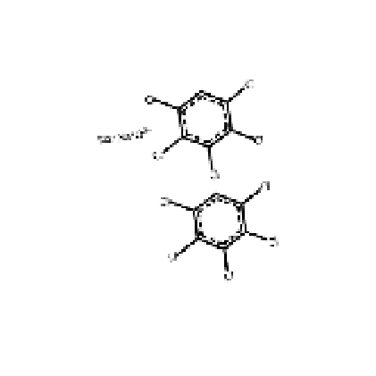 Clc1cc(Cl)c(Cl)c(Cl)c1Cl.Clc1cc(Cl)c(Cl)c(Cl)c1Cl.[Na+].[Na+].[O-2]